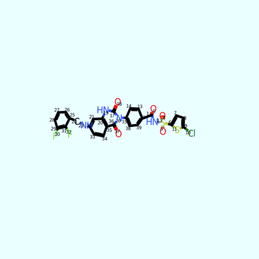 O=C(NS(=O)(=O)c1ccc(Cl)s1)c1ccc(-n2c(=O)[nH]c3cc(NCc4cccc(F)c4F)ccc3c2=O)cc1